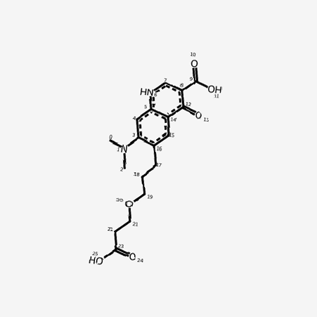 CN(C)c1cc2[nH]cc(C(=O)O)c(=O)c2cc1CCCOCCC(=O)O